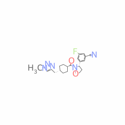 Cn1cc(C[C@H]2CC[C@H](C(=O)N3OCC[C@H]3c3cc(F)cc(C#N)c3)CC2)nn1